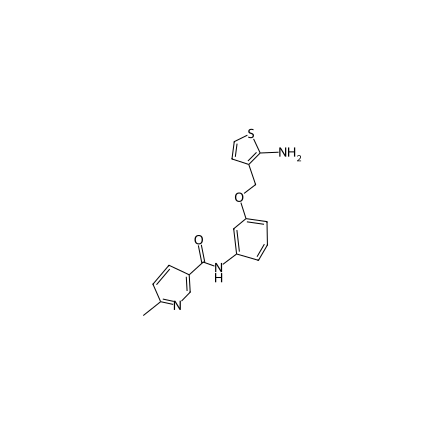 Cc1ccc(C(=O)Nc2cccc(OCc3ccsc3N)c2)cn1